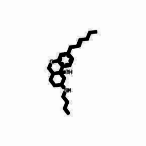 CCCC=CCc1ccc2c(c1)OCC1CCC(NCCCC)CC21O